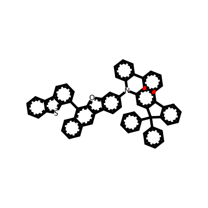 c1ccc(-c2ccccc2N(c2ccc3c(c2)C(c2ccccc2)(c2ccccc2)c2ccccc2-3)c2ccc3c(c2)oc2c(-c4cccc5c4sc4ccccc45)c4ccccc4cc23)cc1